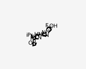 CC(C)n1nc(N2CCCC2=O)c2cnc(Nc3ccnc(N4CC[C@@H](O)[C@@H](F)C4)n3)cc21